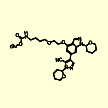 CC(C)(C)OC(=O)NCCCCOCCOc1cc(-c2cnn(C3CCCCO3)c2C#N)cc2c1cnn2C1CCCCO1